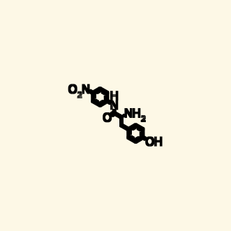 N[C@@H](Cc1ccc(O)cc1)C(=O)Nc1ccc([N+](=O)[O-])cc1